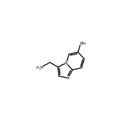 CC(C)(C)c1ccc2ncc(CN)n2c1